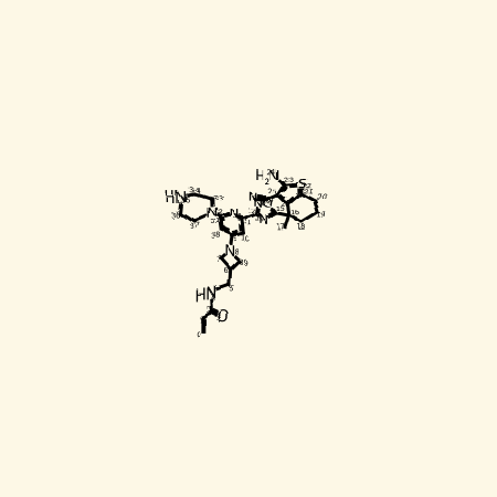 C=CC(=O)NCC1CN(c2cc(-c3noc(C4(C)CCCc5sc(N)c(C#N)c54)n3)nc(N3CCNCC3)c2)C1